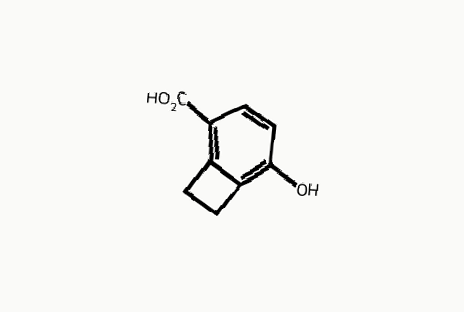 O=C(O)c1ccc(O)c2c1CC2